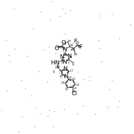 Cc1nc(N[C@@H](C)c2cn(-c3ccc(Cl)cc3)cn2)nc(N2C(=O)OCC2[C@H](C)C(F)F)n1